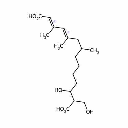 CC(=C\C(=O)O)/C=C(\C)CC(C)CCCCC(O)C(CO)C(=O)O